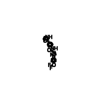 O=C(Nc1ccc([C@@H]2CNCCO2)cc1)c1ccn(-c2ccc(OC(F)F)cc2)n1